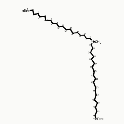 CCCCCCCCCCCCCCCCCCCCCCCCCCCCCN(C)CCCCCCCCCCCCCCCCCCCCCCCCCCCCC